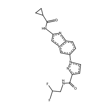 O=C(NCC(F)F)c1ccn(-c2ccc3nc(NC(=O)C4CC4)cn3c2)n1